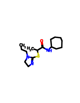 CCCN1CCN=C1SC(C)C(=O)NC1CCCCCC1